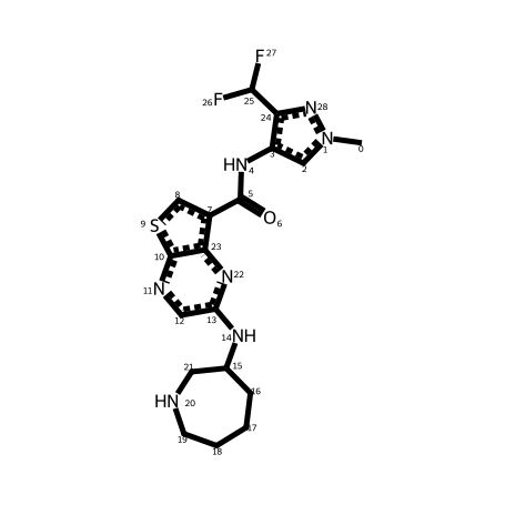 Cn1cc(NC(=O)c2csc3ncc(NC4CCCCNC4)nc23)c(C(F)F)n1